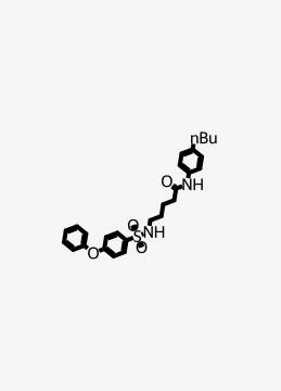 CCCCc1ccc(NC(=O)CCCCNS(=O)(=O)c2ccc(Oc3ccccc3)cc2)cc1